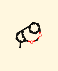 Cc1ccc2cc1OCOc1ccc-2cc1